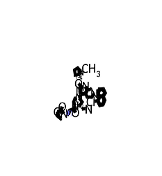 CN1CCC[C@H]1COc1nc2c(c(N3CCN(C(=O)/C=C/n4ccoc4=O)[C@@H](CC#N)C3)n1)CCN(c1cccc3cccc(Cl)c13)C2